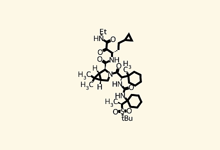 CCNC(=O)C(=O)[C@H](CCC1CC1)NC(=O)[C@@H]1[C@@H]2[C@H](CN1C(=O)[C@@H](NC(=O)NC1([C@H](C)S(=O)(=O)C(C)(C)C)CCCCC1)C1(C)CCCCC1)C2(C)C